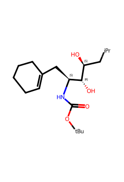 CC(C)C[C@H](O)[C@H](O)[C@H](CC1=CCCCC1)NC(=O)OC(C)(C)C